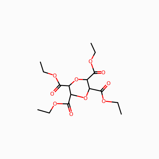 CCOC(=O)C1OC(C(=O)OCC)C(C(=O)OCC)OC1C(=O)OCC